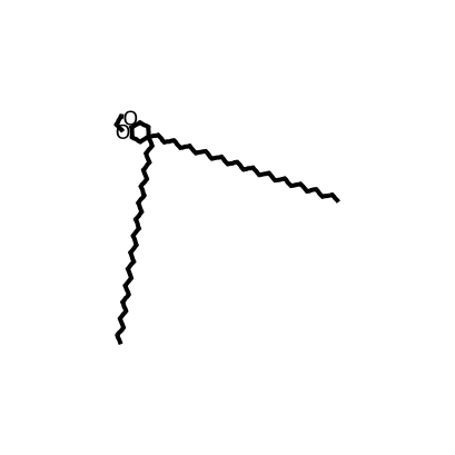 CCCCCCCCCCCCCCCCCCCCCCCCCC1(CCCCCCCCCCCCCCCCCCCCCCCC)CCC2(CC1)OCCO2